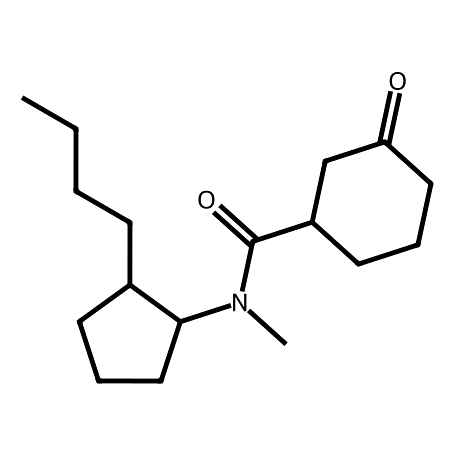 CCCCC1CCCC1N(C)C(=O)C1CCCC(=O)C1